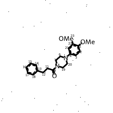 COc1ccc(N2CCN(C(=O)C[CH]c3ccccc3)CC2)cc1OC